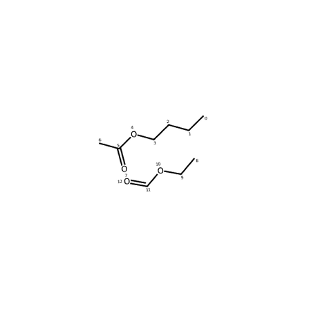 CCCCOC(C)=O.CCOC=O